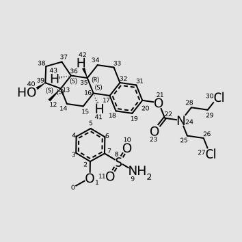 COc1ccccc1S(N)(=O)=O.C[C@]12CC[C@@H]3c4ccc(OC(=O)N(CCCl)CCCl)cc4CC[C@H]3[C@@H]1CC[C@@H]2O